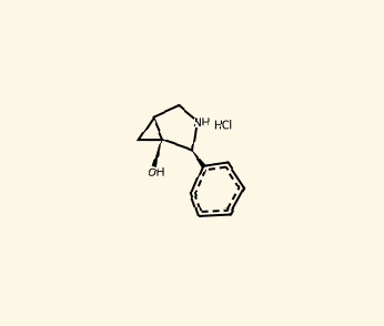 Cl.O[C@@]12CC1CN[C@H]2c1ccccc1